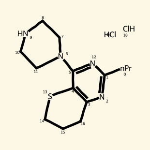 CCCc1nc2c(c(N3CCNCC3)n1)SCCC2.Cl.Cl